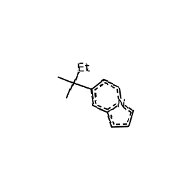 CCC(C)(C)c1ccn2cccc2c1